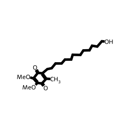 COC1=C(OC)C(=O)C(CCCCCCCCCCCCCO)=C(C)C1=O